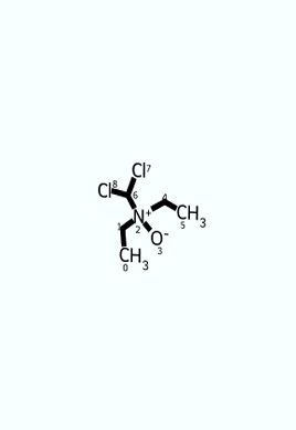 CC[N+]([O-])(CC)C(Cl)Cl